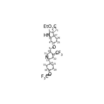 CCOC(=O)Cc1c[nH]c2cc(OCc3cnc(-c4ccc(OC(F)(F)F)cc4)cc3C(F)(F)F)ccc12